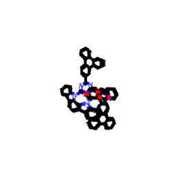 c1ccc(-c2nc(-c3ccc4c5ccccc5c5ccccc5c4c3)nc(-n3c4ccccc4c4ccc5c6ccccc6n(-c6cccc(-c7ccccn7)c6-c6ccc7c8ccccc8c8ccccc8c7c6)c5c43)n2)cc1